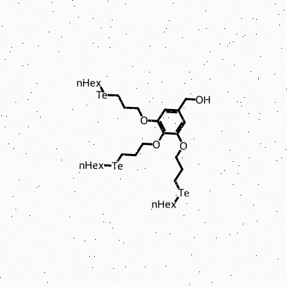 CCCCCC[Te]CCCOc1cc(CO)cc(OCCC[Te]CCCCCC)c1OCCC[Te]CCCCCC